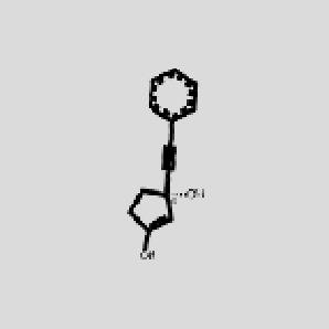 OC1=C[C@](O)(C#Cc2ccccc2)CC1